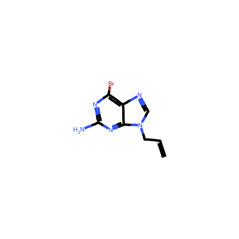 C=CCn1cnc2c(Br)nc(N)nc21